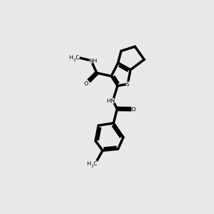 CNC(=O)c1c(NC(=O)c2ccc(C)cc2)sc2c1CCC2